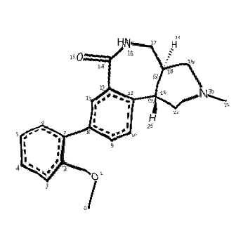 COc1ccccc1-c1ccc2c(c1)C(=O)NC[C@H]1CN(C)C[C@H]21